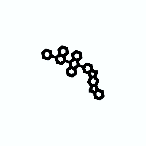 c1ccc(-c2ccc(-c3c4ccccc4c(-c4ccc5sc6cc7c(cc6c5c4)sc4ccccc47)c4ccccc34)c3ccccc23)cc1